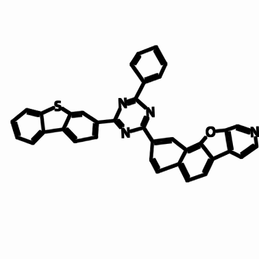 c1ccc(-c2nc(-c3ccc4c(c3)sc3ccccc34)nc(-c3ccc4ccc5c6ccncc6oc5c4c3)n2)cc1